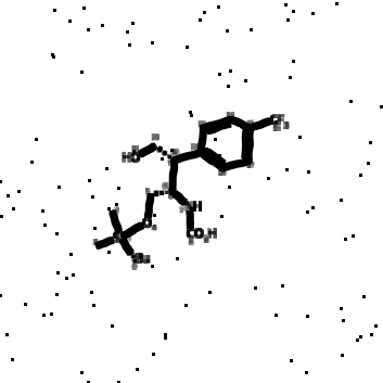 CC(C)(C)[Si](C)(C)OC[C@@H](NC(=O)O)[C@H](CO)c1ccc(C(F)(F)F)cc1